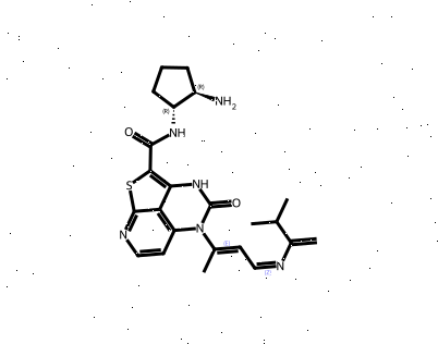 C=C(/N=C\C=C(/C)N1C(=O)Nc2c(C(=O)N[C@@H]3CCC[C@H]3N)sc3nccc1c23)C(C)C